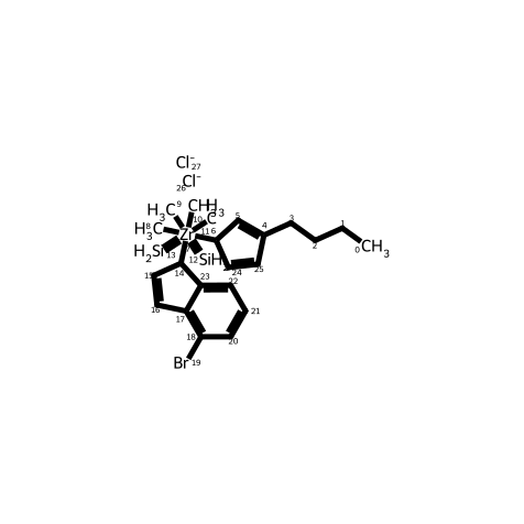 CCCCC1=C[CH]([Zr]([CH3])([CH3])([CH3])([CH3])(=[SiH2])(=[SiH2])[CH]2C=Cc3c(Br)cccc32)C=C1.[Cl-].[Cl-]